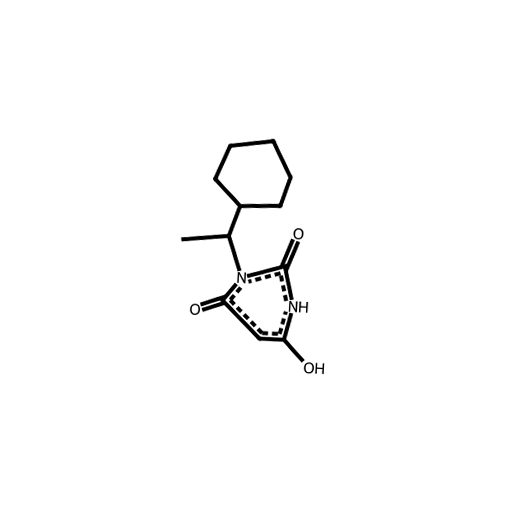 CC(C1CCCCC1)n1c(=O)cc(O)[nH]c1=O